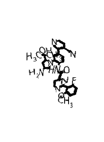 COc1cccc(F)c1-c1nccc(C(=O)Nc2ccc(-c3cnccc3C#N)cc2N2CC(N)CC2C(C)(C)O)n1